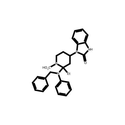 CCC1(N(Cc2ccccc2)c2ccccc2)CC(n2c(=O)[nH]c3ccccc32)CCN1C(=O)O